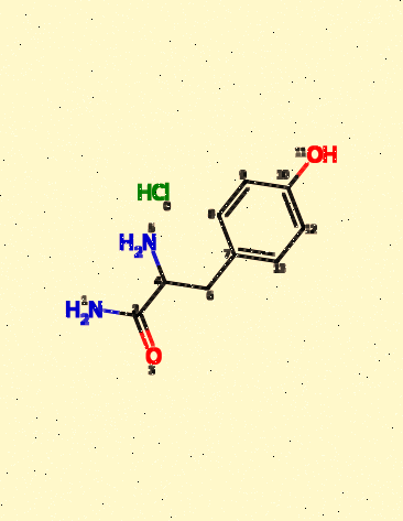 Cl.NC(=O)C(N)Cc1ccc(O)cc1